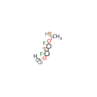 C[C@@H](CS)COc1ccc2c(sc3c(F)c(OC[C@]45CC6CC(C[C@H](C6)C4)C5)ccc32)c1F